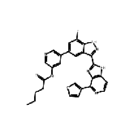 CCCCC(=O)Nc1cncc(-c2cc(F)c3[nH]nc(-c4nc5c(-c6ccsc6)nccc5[nH]4)c3c2)c1